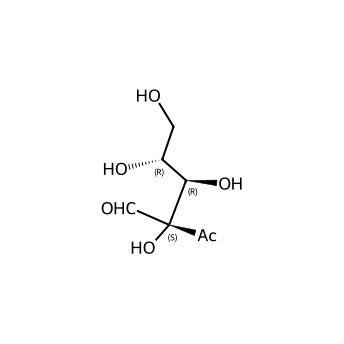 CC(=O)[C@@](O)(C=O)[C@H](O)[C@H](O)CO